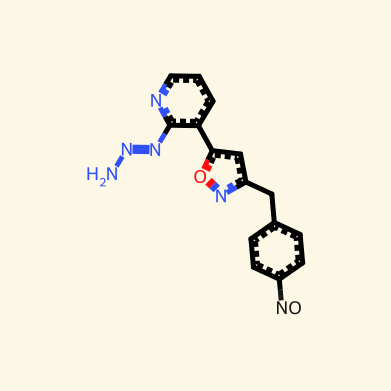 NN=Nc1ncccc1-c1cc(Cc2ccc(N=O)cc2)no1